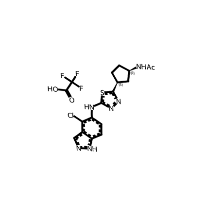 CC(=O)N[C@@H]1CC[C@H](c2nnc(Nc3ccc4[nH]ncc4c3Cl)s2)C1.O=C(O)C(F)(F)F